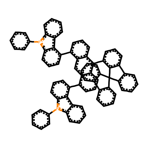 c1ccc(-p2c3ccccc3c3c(-c4cccc5c(-c6cccc7c6C6(c8ccccc8-c8ccccc86)c6ccccc6-7)c6cccc(-c7cccc8c7c7ccccc7p8-c7ccccc7)c6cc45)cccc32)cc1